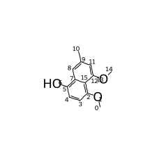 COc1ccc(O)c2cc(C)cc(OC)c12